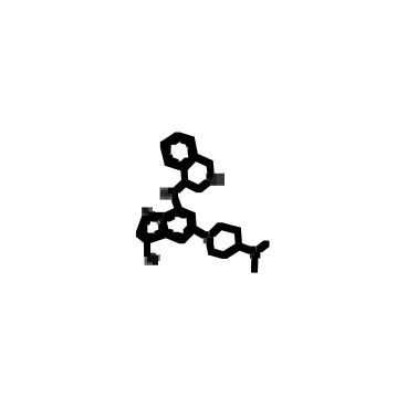 CC(C)c1cnn2c(NC3CNCc4ccccc43)cc(N3CCC(N(C)C)CC3)cc12